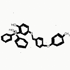 Cc1ccc(Oc2ccc(COc3ccc(O)c([PH](O)(c4ccccc4)c4ccccc4)c3)cc2)cc1